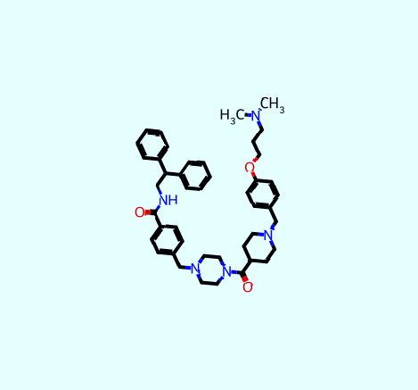 CN(C)CCCOc1ccc(CN2CCC(C(=O)N3CCN(Cc4ccc(C(=O)NCC(c5ccccc5)c5ccccc5)cc4)CC3)CC2)cc1